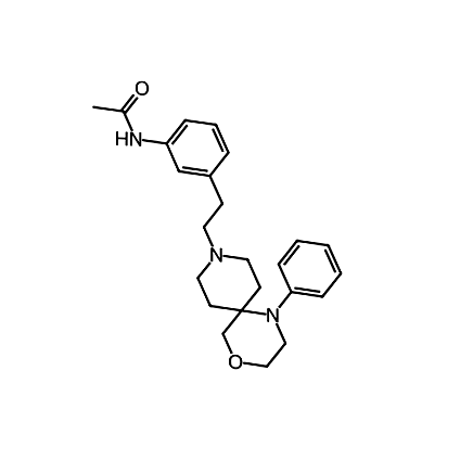 CC(=O)Nc1cccc(CCN2CCC3(CC2)COCCN3c2ccccc2)c1